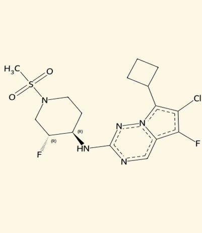 CS(=O)(=O)N1CC[C@@H](Nc2ncc3c(F)c(Cl)c(C4CCC4)n3n2)[C@H](F)C1